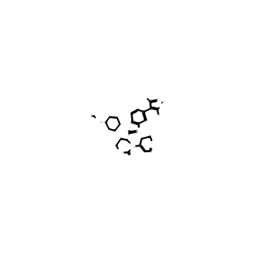 [2H]CO[C@H]1CC[C@H](n2c([C@@H]3CCOC(=O)N3C3=CC=NCC3)nc3cc(-c4c(C)noc4C)ccc32)CC1